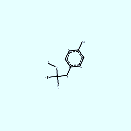 CSC(F)(F)Cc1ccc(C)cc1